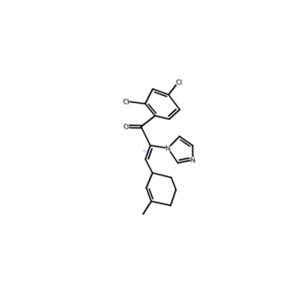 CC1=CC(/C=C(/C(=O)c2ccc(Cl)cc2Cl)n2ccnc2)CCC1